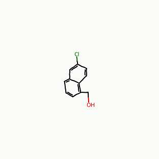 OCc1cccc2cc(Cl)ccc12